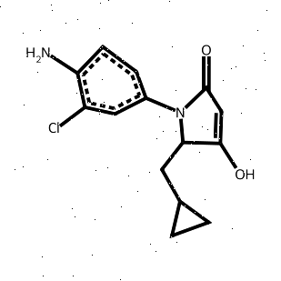 Nc1ccc(N2C(=O)C=C(O)C2CC2CC2)cc1Cl